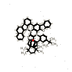 CC(C)(C)c1ccc(N2c3c(sc4cc5c(cc34)C(C)(C)CCC5(C)C)B3c4c(cc5c(oc6ccccc65)c42)-c2cccc4c5ccc6ccccc6c5n3c24)c(-c2ccccc2)c1